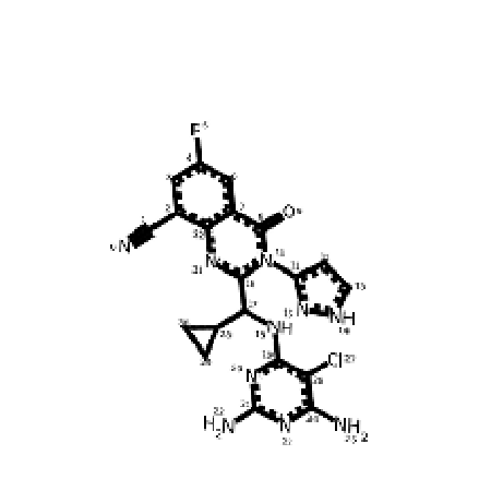 N#Cc1cc(F)cc2c(=O)n(-c3cc[nH]n3)c(C(Nc3nc(N)nc(N)c3Cl)C3CC3)nc12